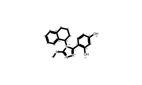 CSc1nnc(-c2ccc(O)cc2O)n1C1CCCc2ccccc21